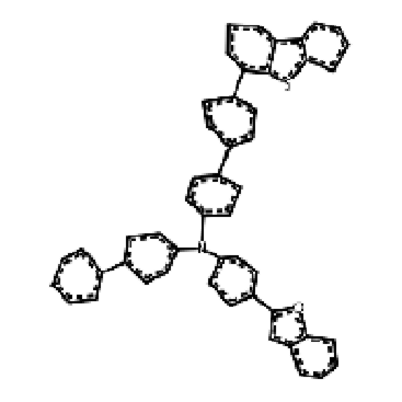 c1ccc(-c2ccc(N(c3ccc(-c4ccc(-c5cccc6c5sc5ccccc56)cc4)cc3)c3ccc(-c4cc5ccccc5o4)cc3)cc2)cc1